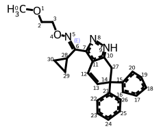 COCCO/N=C(/c1n[nH]c2c1C=CC(c1ccccc1)(c1ccccc1)C2)C1CC1